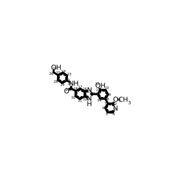 COc1ncccc1-c1ccc(O)c(-c2nc3cc(C(=O)Nc4ccc(CO)cc4)ccc3[nH]2)c1